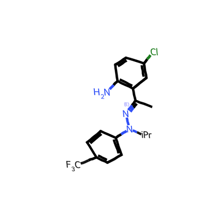 C/C(=N\N(c1ccc(C(F)(F)F)cc1)C(C)C)c1cc(Cl)ccc1N